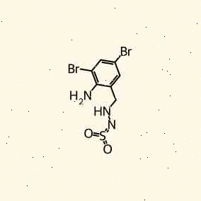 Nc1c(Br)cc(Br)cc1CNN=S(=O)=O